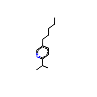 CCCCCc1ccc(C(C)C)nc1